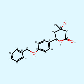 CC1(O)CC(=O)OC(c2ccc(OCc3ccccc3)cc2)C1